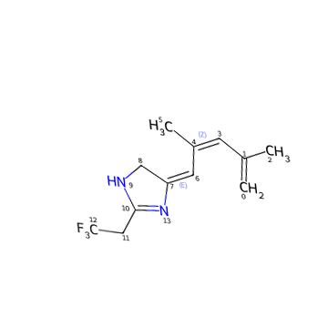 C=C(C)/C=C(C)\C=C1/CNC(CC(F)(F)F)=N1